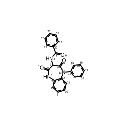 O=C(NC1C(=O)Nc2ccccc2N(c2ccccc2)C1=O)c1ccccc1